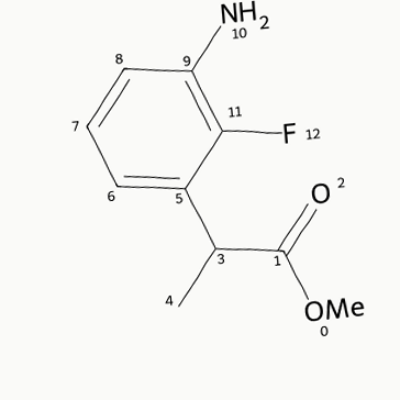 COC(=O)C(C)c1cccc(N)c1F